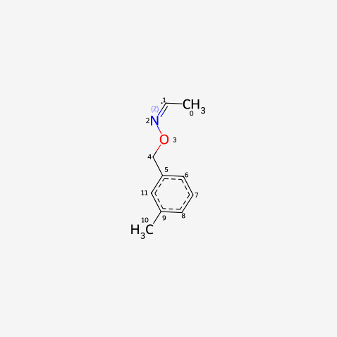 C/[C]=N\OCc1cccc(C)c1